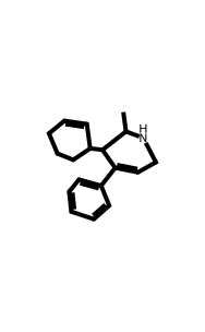 CC1NCC=C(c2ccccc2)C1C1C=CCCC1